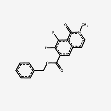 Cn1ccc2cc(C(=O)OCc3ccccc3)c(F)c(F)c2c1=O